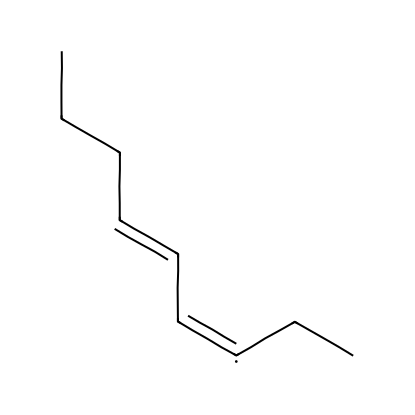 CC/[C]=C\C=C\CCC